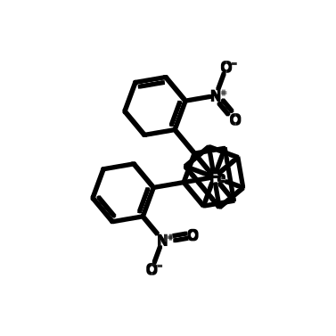 O=[N+]([O-])C1=C([C]23[CH]4[CH]5[CH]6[C]2(C2=C([N+](=O)[O-])C=CCC2)[Fe]54632789[CH]3[CH]2[CH]7[CH]8[CH]39)CCC=C1